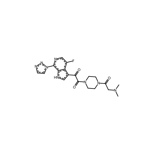 CN(C)CC(=O)N1CCN(C(=O)C(=O)c2c[nH]c3c(-n4ccnn4)ncc(F)c23)CC1